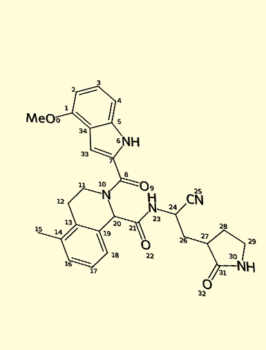 COc1cccc2[nH]c(C(=O)N3CCc4c(C)cccc4C3C(=O)NC(C#N)CC3CCNC3=O)cc12